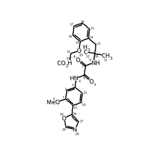 COc1cc(NC(=O)C(=O)NC(C)(C)Cc2ccccc2OCC(=O)O)ccc1-c1cnco1